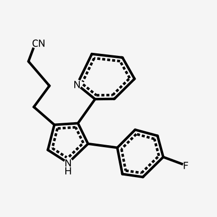 N#CCCCc1c[nH]c(-c2ccc(F)cc2)c1-c1ccccn1